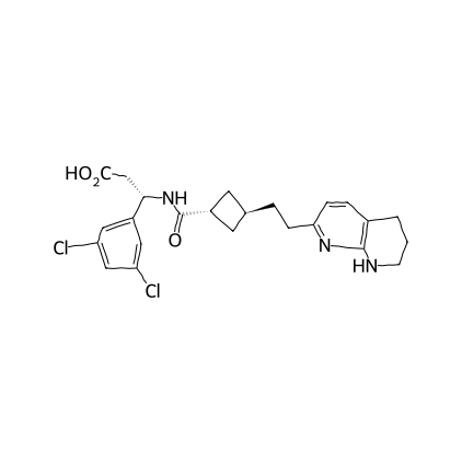 O=C(O)C[C@H](NC(=O)[C@H]1C[C@H](CCc2ccc3c(n2)NCCC3)C1)c1cc(Cl)cc(Cl)c1